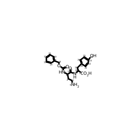 NCCC(NC(=O)OCc1ccccc1)C(=O)NC(Cc1ccc(O)cc1)C(=O)O